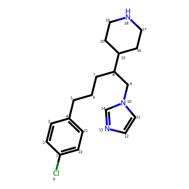 Clc1ccc(CCCC(Cn2ccnc2)C2CCNCC2)cc1